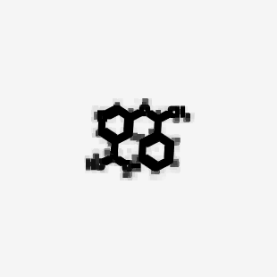 CC(Oc1cncc(B(O)O)c1)c1ccccc1